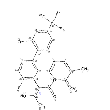 C=C1C(C)=CC=CN1C(=O)/C(=C(\C)O)c1cc(-c2ccc(C(F)(F)F)cc2Cl)ccc1F